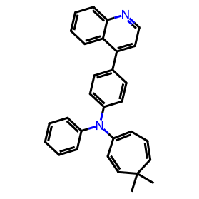 CC1(C)C=CC=C(N(c2ccccc2)c2ccc(-c3ccnc4ccccc34)cc2)C=C1